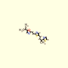 CC(C)c1cnc(CCc2ncc(CCC(C)c3nccs3)s2)o1